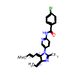 C/C=c1/nc(C(F)(F)F)n(-c2ccc(NC(=O)c3ccc(Br)cc3)nc2)/c1=C/C=C/OC